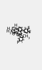 Cc1ccc(F)cc1OCc1c(-c2ccc(F)c(F)c2)ccc2c1N(C)C(=O)C(C)(C)N2